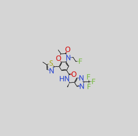 Cc1cnc(-c2cc(C(=O)N[C@H](C)c3cnc(C(F)(F)F)nc3)cc3c2OC(C)C(=O)N3CCF)s1